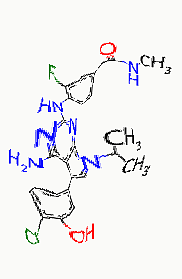 CNC(=O)c1ccc(Nc2nc(N)c3c(-c4ccc(Cl)c(O)c4)cn(C(C)C)c3n2)c(F)c1